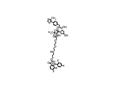 Cc1ncsc1-c1ccc(CNC(O)[C@@H]2C[C@@H](O)CN2C(=O)[C@@H](NC(=O)COCCOCCNCCCONC(=O)c2ccc(F)c(F)c2Nc2ccc(I)cc2F)C(C)(C)C)cc1